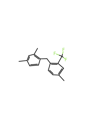 Cc1ccc(Cc2ccc(C)cc2C(F)(F)F)c(C)c1